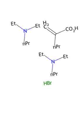 Br.C=C(CCC)C(=O)O.CCCN(CC)CC.CCCN(CC)CC